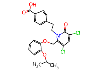 CC(C)Oc1ccccc1OCc1c(Cl)cc(Cl)c(=O)n1CCc1ccc(C(=O)O)cc1